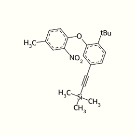 Cc1ccc(Oc2cc(C#C[Si](C)(C)C)ccc2C(C)(C)C)c([N+](=O)[O-])c1